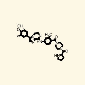 COc1ccc(-c2cnc3c(Nc4ccc(C(=O)N5CCN(C(=O)C6CCCN6)CC5)c(C)c4)nccn23)cc1F